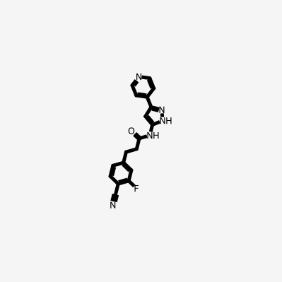 N#Cc1ccc(CCC(=O)Nc2cc(-c3ccncc3)n[nH]2)cc1F